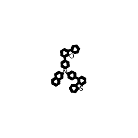 c1ccc2cc(N(c3ccc(-c4cccc5c4oc4ccccc45)cc3)c3ccc(-c4cccc5sc6ccccc6c45)cc3)ccc2c1